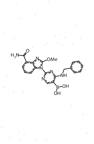 COc1nc2c(C(N)=O)cccc2n1-c1ncc(B(O)O)c(NCc2ccccc2)n1